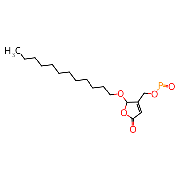 CCCCCCCCCCCCOC1OC(=O)C=C1COP=O